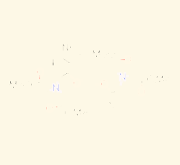 COC(=O)CN(CC(=O)OC)c1ccc(C)cc1OCCOc1cc([N+](=O)[O-])ccc1N(CC(=O)OC)CC(=O)OC